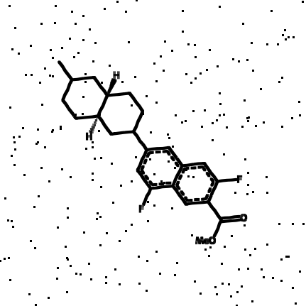 COC(=O)c1cc2c(F)cc(C3CC[C@H]4CC(C)CC[C@@H]4C3)cc2cc1F